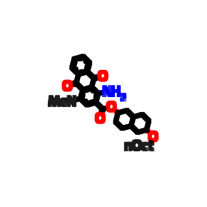 CCCCCCCCOC1CCC2CC(OC(=O)c3cc(NC)c4c(c3N)C(=O)c3ccccc3C4=O)CCC2C1